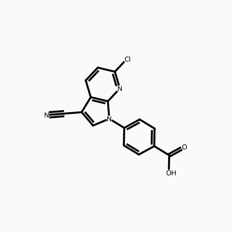 N#Cc1cn(-c2ccc(C(=O)O)cc2)c2nc(Cl)ccc12